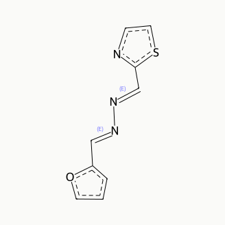 C(=N\N=C\c1nccs1)/c1ccco1